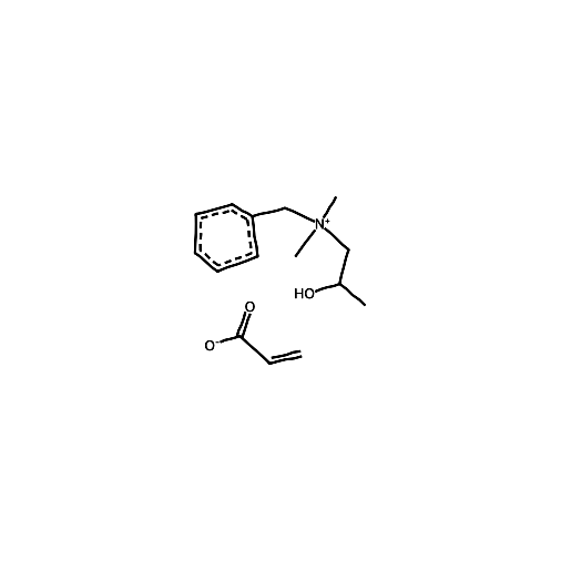 C=CC(=O)[O-].CC(O)C[N+](C)(C)Cc1ccccc1